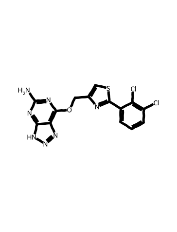 Nc1nc(OCc2csc(-c3cccc(Cl)c3Cl)n2)c2nn[nH]c2n1